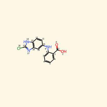 O=C(O)c1ccccc1Nc1ccc2[nH]c(Cl)nc2c1